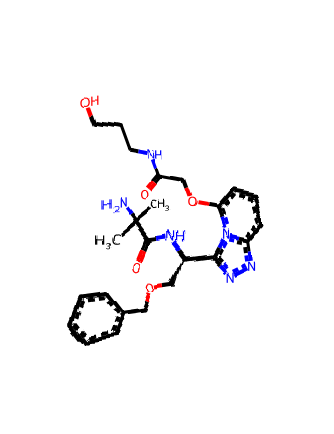 CC(C)(N)C(=O)N[C@H](COCc1ccccc1)c1nnc2cccc(OCC(=O)NCCCO)n12